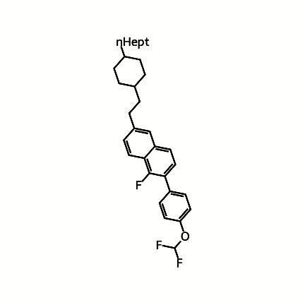 CCCCCCCC1CCC(CCc2ccc3c(F)c(-c4ccc(OC(F)F)cc4)ccc3c2)CC1